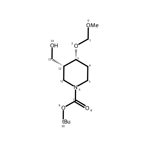 COCO[C@@H]1CCN(C(=O)OC(C)(C)C)C[C@@H]1CO